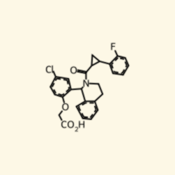 O=C(O)COc1ccc(Cl)cc1C1c2ccccc2CCN1C(=O)C1CC1c1ccccc1F